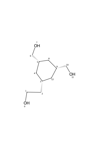 OCC[C@@H]1C[C@H](CO)C[C@H](CO)C1